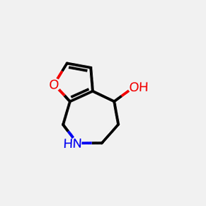 OC1CCNCc2occc21